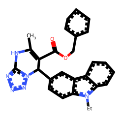 CCn1c2ccccc2c2cc(C3C(C(=O)OCc4ccccc4)=C(C)Nc4nnnn43)ccc21